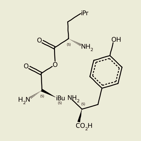 CC[C@H](C)[C@H](N)C(=O)OC(=O)[C@@H](N)CC(C)C.N[C@@H](Cc1ccc(O)cc1)C(=O)O